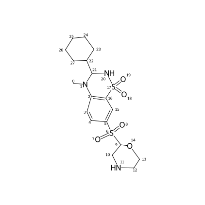 CN1c2ccc(S(=O)(=O)C3CNCCO3)cc2S(=O)(=O)NC1C1CCCCC1